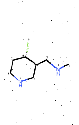 CNCC1CNCC[C@@H]1F